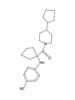 N#Cc1ccc(NC2(C(=O)N3CCC(C4CCCC4)CC3)CCCC2)cc1